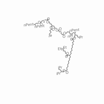 CCCCCC(CCCCC)CCOC(=O)CSCC(=O)OCCCC(CCCOC(=O)CSCC(=O)OCCC(CCCCC)CC(CCC)CC(C)C(CCC(C)C)COC(=O)CCCCCCCCCC(CCCCCCCCCC(=O)OCC(CCC(C)C)C(C)C)C(=O)OCCCN(CC)CC)OC(=O)CCCN(C)C